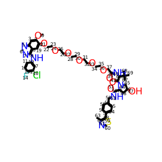 COc1cc2ncnc(Nc3ccc(F)c(Cl)c3)c2cc1OCCOCCOCCOCCOCCOCC(=O)N[C@H](C(=O)N1CC(O)CC1C(=O)NCc1ccc(-c2scnc2C)cc1)C(C)(C)C